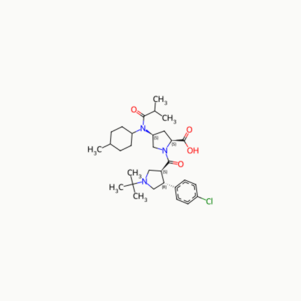 CC1CCC(N(C(=O)C(C)C)[C@H]2C[C@@H](C(=O)O)N(C(=O)[C@@H]3CN(C(C)(C)C)C[C@H]3c3ccc(Cl)cc3)C2)CC1